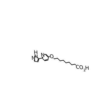 O=C(O)CCCCCCCCOc1ccc(-c2ccn[nH]2)nc1